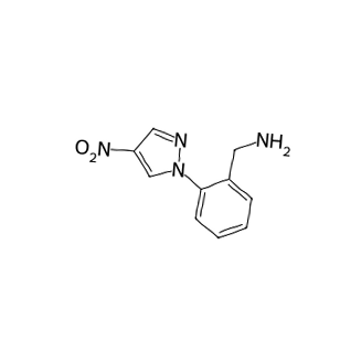 NCc1ccccc1-n1cc([N+](=O)[O-])cn1